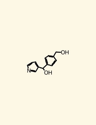 OCc1ccc(C(O)c2cccnc2)cc1